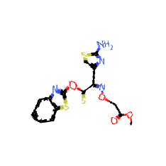 COC(=O)CO/N=C(\C(=S)Oc1nc2ccccc2s1)c1csc(N)n1